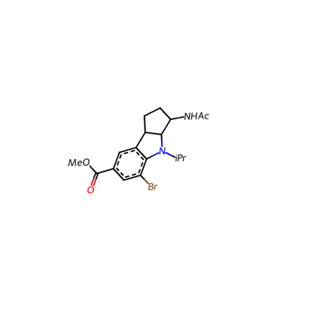 COC(=O)c1cc(Br)c2c(c1)C1CCC(NC(C)=O)C1N2C(C)C